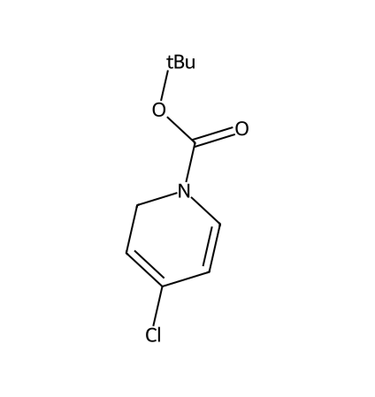 CC(C)(C)OC(=O)N1C=CC(Cl)=CC1